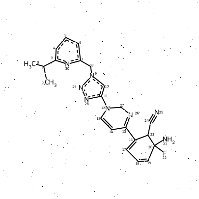 CC(C)c1cccc(Cn2cc(N3C=CC(C4=CC=CC(N)(F)C4C#N)=NC3)nn2)n1